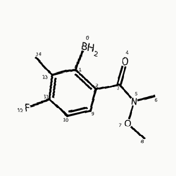 Bc1c(C(=O)N(C)OC)ccc(F)c1C